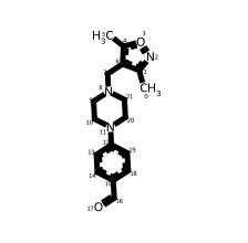 Cc1noc(C)c1CN1CCN(c2ccc(C=O)cc2)CC1